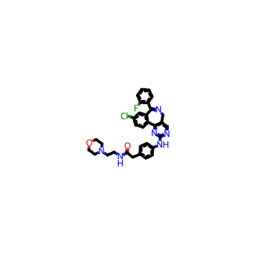 O=C(Cc1ccc(Nc2ncc3c(n2)-c2ccc(Cl)cc2C(c2ccccc2F)=NC3)cc1)NCCN1CCOCC1